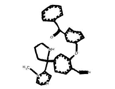 Cn1cncc1C1(c2ccc(C#N)c(Oc3cccc(C(=O)c4ccccc4)c3)c2)CCCN1